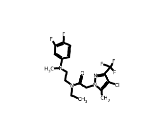 CCN(CCN(C)c1ccc(F)c(F)c1)C(=O)Cn1nc(C(F)(F)F)c(Cl)c1C